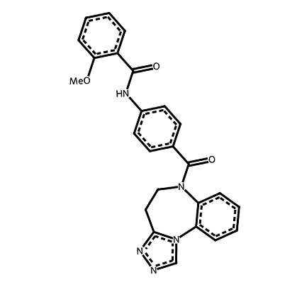 COc1ccccc1C(=O)Nc1ccc(C(=O)N2CCc3nncn3-c3ccccc32)cc1